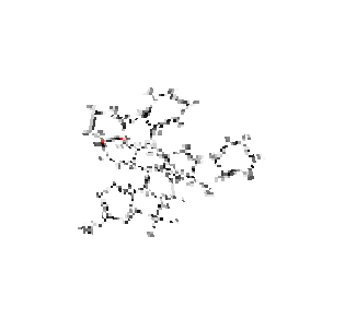 CC(C)(C)c1ccc2c(c1)C(C)(C)c1cccc(-c3ccccc3N(c3ccc4sc5ccccc5c4c3)c3ccccc3-c3ccccc3)c1-2